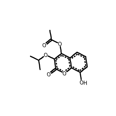 CC(=O)Oc1c(OC(C)C)c(=O)oc2c(O)cccc12